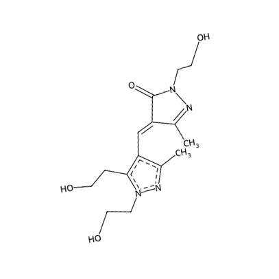 CC1=NN(CCO)C(=O)C1=Cc1c(C)nn(CCO)c1CCO